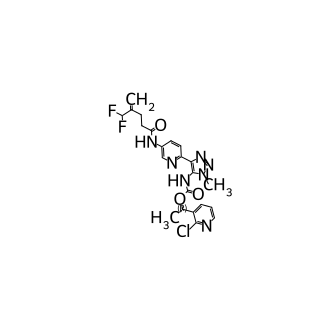 C=C(CCC(=O)Nc1ccc(-c2nnn(C)c2NC(=O)O[C@H](C)c2cccnc2Cl)nc1)C(F)F